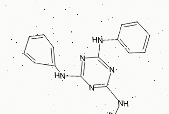 CC(C)Nc1nc(Nc2ccccc2)nc(Nc2ccccc2)n1